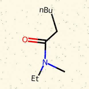 CCCCCC(=O)N(C)CC